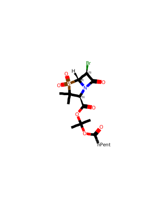 CCCCCC(=O)OC(C)(C)OC(=O)[C@@H]1N2C(=O)[C@H](Br)[C@H]2S(=O)(=O)C1(C)C